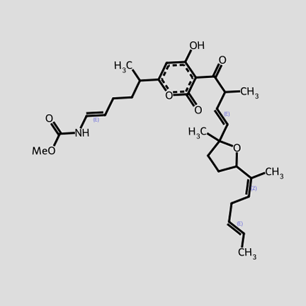 C/C=C/C/C=C(/C)C1CCC(C)(/C=C/C(C)C(=O)c2c(O)cc(C(C)CC/C=C/NC(=O)OC)oc2=O)O1